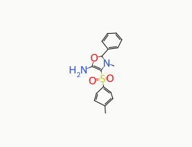 Cc1ccc(S(=O)(=O)C2=C(N)OC(c3ccccc3)N2C)cc1